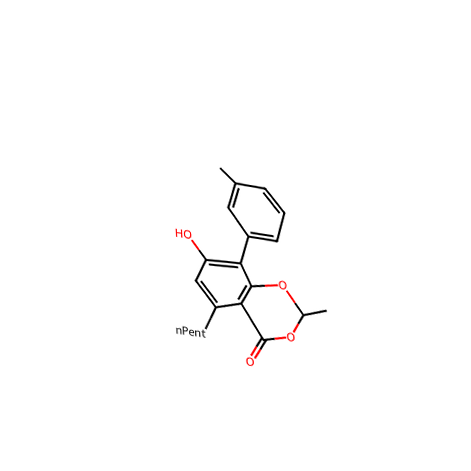 CCCCCc1cc(O)c(-c2cccc(C)c2)c2c1C(=O)OC(C)O2